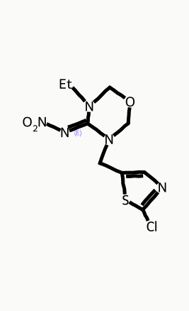 CCN1COCN(Cc2cnc(Cl)s2)/C1=N/[N+](=O)[O-]